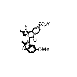 COc1ccc2nc(C)n(CC(=O)N3CCN(C(=O)O)CC3c3ncc(I)[nH]3)c2c1